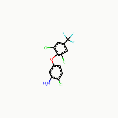 Nc1cc(Oc2c(Cl)cc(C(F)(F)F)cc2Cl)ccc1Cl